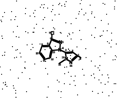 Cc1[c]c(-n2nc(Cl)c3ccccc32)n(C)n1